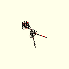 CCCCCCCCCCCCCCCC(=O)OCC(COC(=O)CCCCCCCCCCCCCCC)OC(=O)CC(C)CCCCCCCC(C)C(=O)n1ccc2c(N(C)[C@H]3CN(C(=O)CC#N)CC[C@H]3C)ncnc21